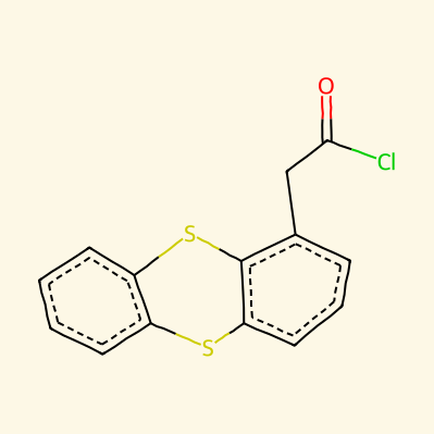 O=C(Cl)Cc1cccc2c1Sc1ccccc1S2